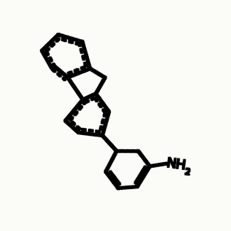 NC1=CC=CC(c2ccc3c(c2)Cc2ccccc2-3)C1